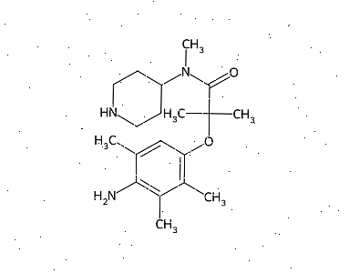 Cc1cc(OC(C)(C)C(=O)N(C)C2CCNCC2)c(C)c(C)c1N